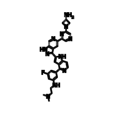 CN(C)CCNc1cc(F)cc(-c2nccc3[nH]c(-c4n[nH]c5cnc(-c6cncc(N7CC(N)C7)n6)cc45)cc23)c1